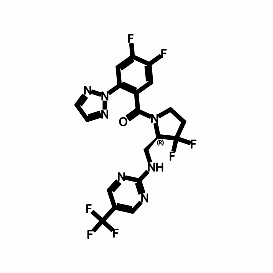 O=C(c1cc(F)c(F)cc1-n1nccn1)N1CCC(F)(F)[C@H]1CNc1ncc(C(F)(F)F)cn1